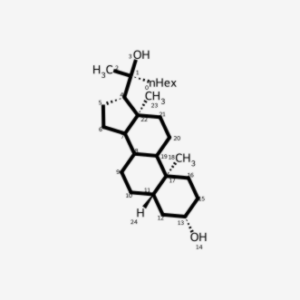 CCCCCC[C@](C)(O)[C@H]1CCC2C3CC[C@H]4C[C@@H](O)CC[C@]4(C)C3CC[C@@]21C